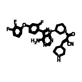 N#CC(=CC1CCNCC1)C(=O)N1CCC[C@H](n2nc(-c3ccc(Oc4cccc(F)c4F)cc3F)c3c(N)ncnc32)C1